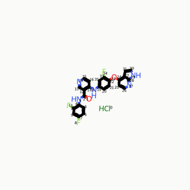 Cl.O=C(Nc1ccc(F)cc1F)c1cnccc1Nc1ccc(Oc2ccnc3[nH]ccc23)c(F)c1